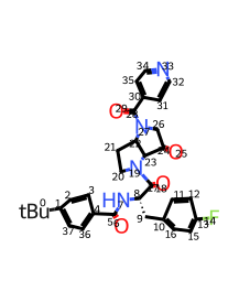 CC(C)(C)c1ccc(C(=O)N[C@@H](Cc2ccc(F)cc2)C(=O)N2CCC3C2C(=O)CN3C(=O)c2ccncc2)cc1